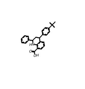 CC(C)(C)c1ccc(C2CC(c3ccccc3)Nc3c(C(=O)O)cccc32)cc1